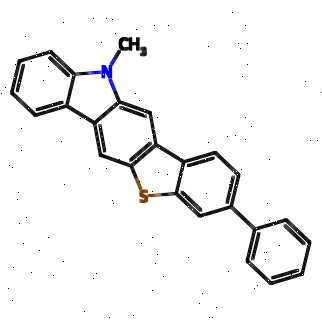 Cn1c2ccccc2c2cc3sc4cc(-c5ccccc5)ccc4c3cc21